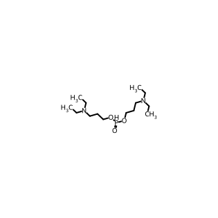 CCN(CC)CCCO[PH](=O)OCCCN(CC)CC